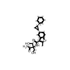 Cc1oc2ccc([C@@H]3C[C@H]3c3ccccc3)cc2c1C(=O)NC(CO)(CO)C(N)=O